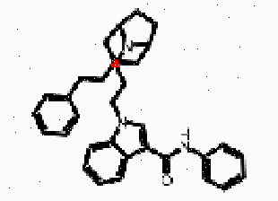 O=C(Nc1ccccc1)c1cn(CCCN2C3CCC2CC(CCc2ccccc2)C3)c2ccccc12